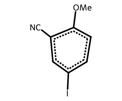 COc1ccc(I)cc1C#N